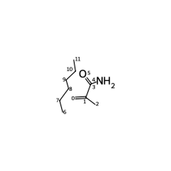 C=C(C)C(N)=O.CCCCCC